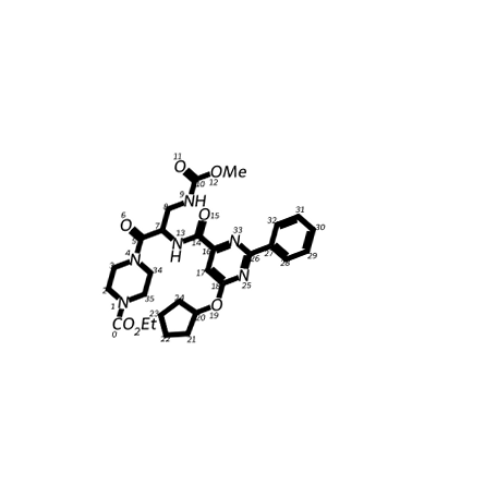 CCOC(=O)N1CCN(C(=O)C(CNC(=O)OC)NC(=O)c2cc(OC3CCCC3)nc(-c3ccccc3)n2)CC1